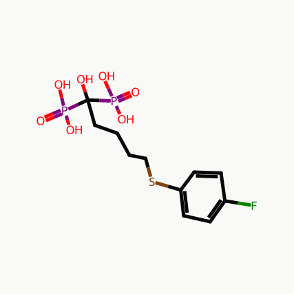 O=P(O)(O)C(O)(CCCCSc1ccc(F)cc1)P(=O)(O)O